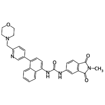 CN1C(=O)c2ccc(NC(=O)Nc3ccc(-c4ccc(CN5CCOCC5)nc4)c4ccccc34)cc2C1=O